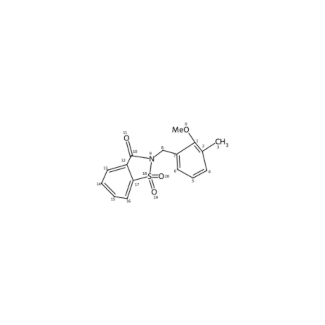 COc1c(C)cccc1CN1C(=O)c2ccccc2S1(=O)=O